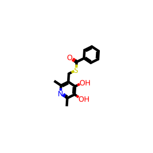 Cc1nc(C)c(CSC(=O)c2ccccc2)c(O)c1O